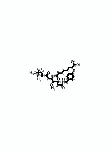 C[C@H](NC(=O)C(CC(=O)NCC(C)(C)C)NC(=O)CCCCCCC(=O)O)C(=O)NCc1ccc(F)cc1F